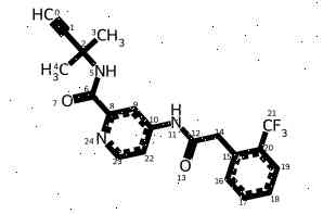 C#CC(C)(C)NC(=O)c1cc(NC(=O)Cc2ccccc2C(F)(F)F)ccn1